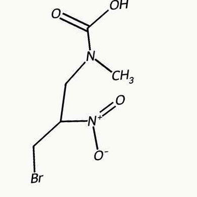 CN(CC(CBr)[N+](=O)[O-])C(=O)O